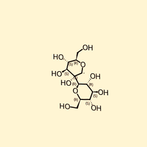 OC[C@H]1O[CH][C@@](O)([C@@H]2O[C@H](CO)[C@@H](O)[C@H](O)[C@H]2O)[C@@H](O)[C@@H]1O